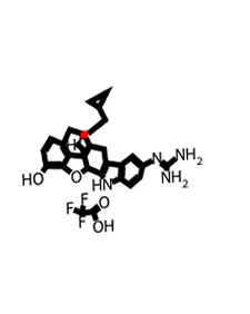 NC(N)=Nc1ccc2[nH]c3c(c2c1)CC1(O)C2Cc4ccc(O)c5c4C1(CCN2CC1CC1)C3O5.O=C(O)C(F)(F)F